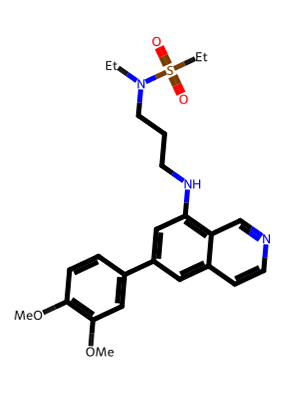 CCN(CCCNc1cc(-c2ccc(OC)c(OC)c2)cc2ccncc12)S(=O)(=O)CC